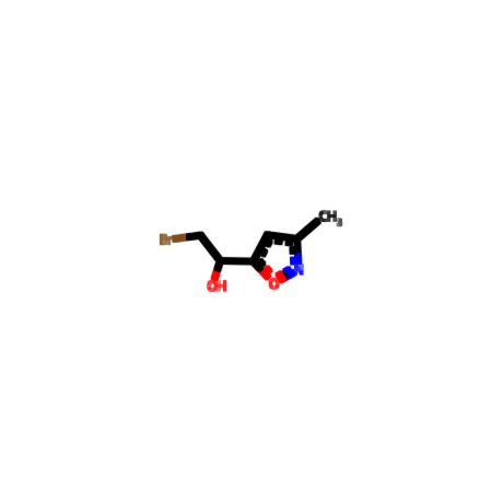 Cc1cc(C(O)CBr)on1